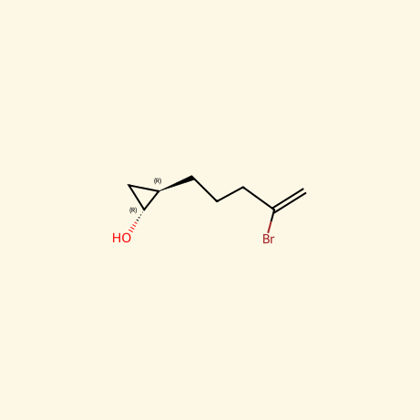 C=C(Br)CCC[C@@H]1C[C@H]1O